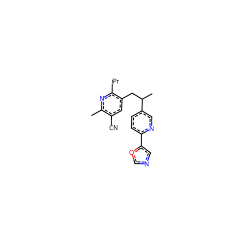 Cc1nc(C(C)C)c(CC(C)c2ccc(-c3cnco3)nc2)cc1C#N